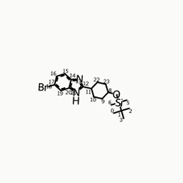 CC(C)(C)[Si](C)(C)OC1CCC(c2nc3ccc(Br)cc3[nH]2)CC1